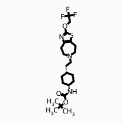 CC(C)(C)OC(=O)N[C@H]1CC[C@H](CCN2CCc3nc(OCC(F)(F)F)sc3CC2)CC1